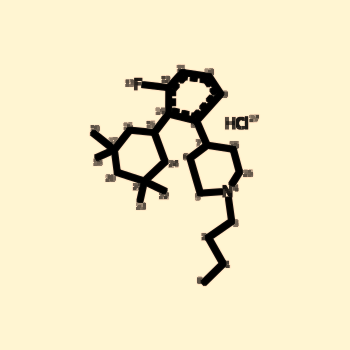 CCCCN1CCC(c2cccc(F)c2C2CC(C)(C)CC(C)(C)C2)CC1.Cl